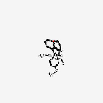 COC1=CC(C=O)(S(=O)(=O)c2ccccc2)C(OC)(c2c[nH]c3ccccc23)C=C1